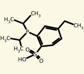 CCc1ccc(S(=O)(=O)O)c(P(C(C)C)C(C)C)c1